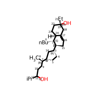 CCCC[C@H]1[C@H]([C@@H]2CC[C@H]([C@H](C)CCC(O)C(C)C)C2)CC=C2C[C@](O)(CC)CC[C@@H]21